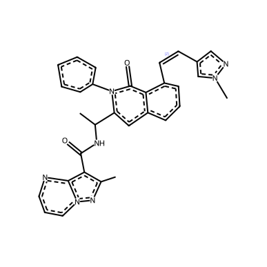 Cc1nn2cccnc2c1C(=O)NC(C)c1cc2cccc(/C=C\c3cnn(C)c3)c2c(=O)n1-c1ccccc1